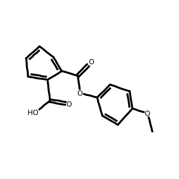 COc1ccc(OC(=O)c2ccccc2C(=O)O)cc1